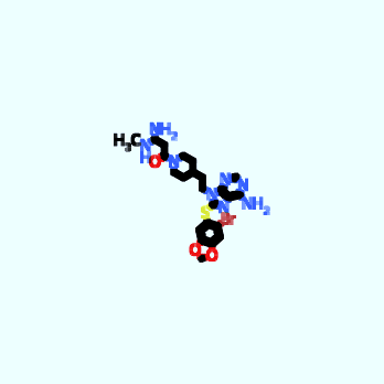 CNC(N)CC(=O)N1CCC(CCn2c(Sc3cc4c(cc3Br)OCO4)nc3c(N)ncnc32)CC1